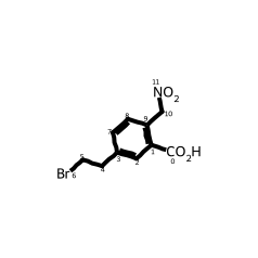 O=C(O)c1cc(CCBr)ccc1C[N+](=O)[O-]